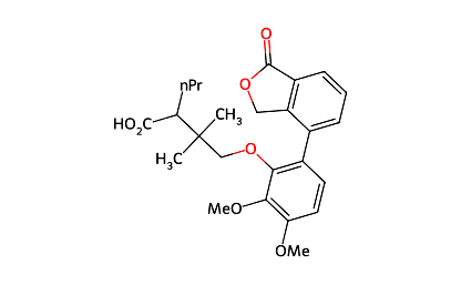 CCCC(C(=O)O)C(C)(C)COc1c(-c2cccc3c2COC3=O)ccc(OC)c1OC